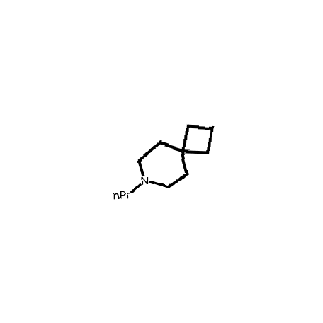 CCCN1CCC2(CCC2)CC1